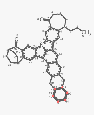 CCCC1CCCC(=O)c2cc3c(cc21)c1cc2cc4c(cc2c2c5cc6c(cc5n3c12)C(=O)C1CCC6CC1)C1c2ccccc2C4c2ccccc21